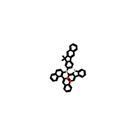 CC1(C)c2cc(N(c3ccc4ccccc4c3-c3ccc4ccccc4c3)c3cccc4c3sc3ccccc34)ccc2-c2cc3ccccc3cc21